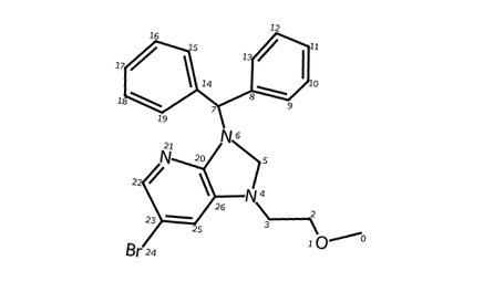 COCCN1CN(C(c2ccccc2)c2ccccc2)c2ncc(Br)cc21